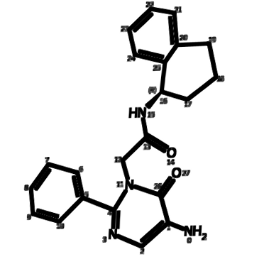 Nc1cnc(-c2ccccc2)n(CC(=O)N[C@@H]2CCCc3ccccc32)c1=O